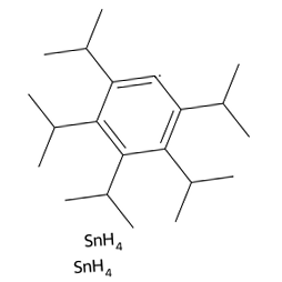 CC(C)c1[c]c(C(C)C)c(C(C)C)c(C(C)C)c1C(C)C.[SnH4].[SnH4]